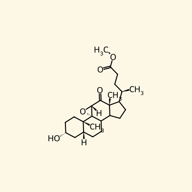 COC(=O)CC[C@@H](C)C1CCC2C3CC[C@@H]4C[C@H](O)CC[C@]4(C)[C@]34O[C@@H]4C(=O)[C@@]21C